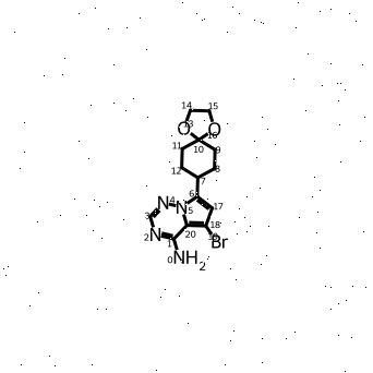 Nc1ncnn2c(C3CCC4(CC3)OCCO4)cc(Br)c12